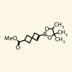 COC(=O)C1CC2(C=C(B3OC(C)C(C)(C)O3)C2)C1